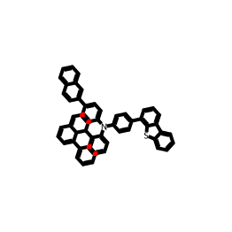 C1=CC2=CC=CC(c3ccccc3N(c3ccc(-c4ccc5ccccc5c4)cc3)c3ccc(-c4cccc5c4sc4ccccc45)cc3)C2C(c2ccccc2)=C1